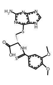 COc1ccc(C(=S)N[C@@H](CSc2nc(N)nc3nc[nH]c23)C(=O)O)cc1OC